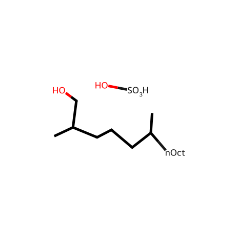 CCCCCCCCC(C)CCCC(C)CO.O=S(=O)(O)O